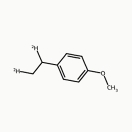 [2H]CC([2H])c1ccc(OC)cc1